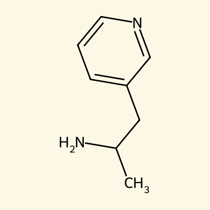 CC(N)Cc1cccnc1